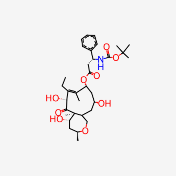 CC/C1=C(/C)[C@@H](OC(=O)C[C@@H](NC(=O)OC(C)(C)C)c2ccccc2)C[C@@H](O)CC2CO[C@@H](C)C[C@H](O)[C@@]2(C)C(=O)[C@@H]1O